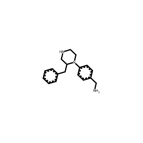 NCc1ccc(N2CCNCC2Cc2ccccc2)cc1